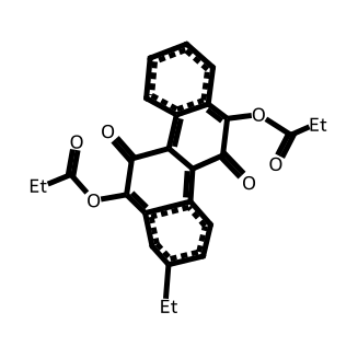 CCC(=O)OC1=c2ccccc2=C2C(=O)C(OC(=O)CC)=c3cc(CC)ccc3=C2C1=O